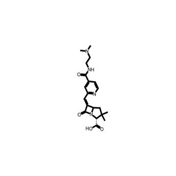 CN(C)CCNC(=O)c1ccnc(/C=C2/C(=O)N3C2CC(C)(C)[C@@H]3C(=O)O)c1